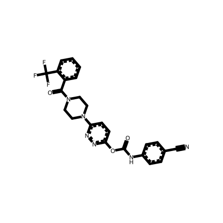 N#Cc1ccc(NC(=O)Oc2ccc(N3CCN(C(=O)c4ccccc4C(F)(F)F)CC3)nn2)cc1